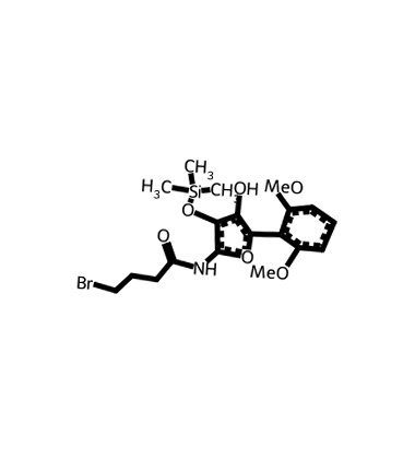 COc1cccc(OC)c1-c1oc(NC(=O)CCCBr)c(O[Si](C)(C)C)c1O